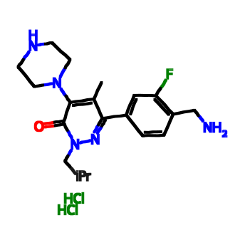 Cc1c(-c2ccc(CN)c(F)c2)nn(CC(C)C)c(=O)c1N1CCNCC1.Cl.Cl